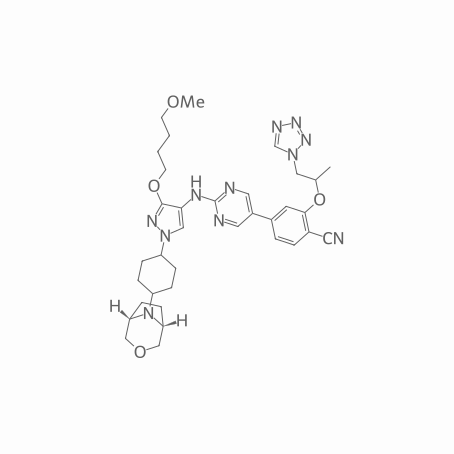 COCCCCOc1nn(C2CCC(N3[C@@H]4CC[C@H]3COC4)CC2)cc1Nc1ncc(-c2ccc(C#N)c(OC(C)Cn3cnnn3)c2)cn1